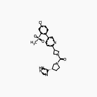 CS(=O)(=O)c1cc(Cl)ccc1-c1ccc(C2CN(C(=O)N3CC[C@H](c4ncn[nH]4)C3)C2)nc1